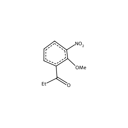 CCC(=O)c1cccc([N+](=O)[O-])c1OC